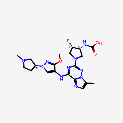 COc1nn([C@H]2CCN(C)C2)cc1Nc1nc(N2C[C@@H](F)[C@H](NC(=O)O)C2)nn2c(C)cnc12